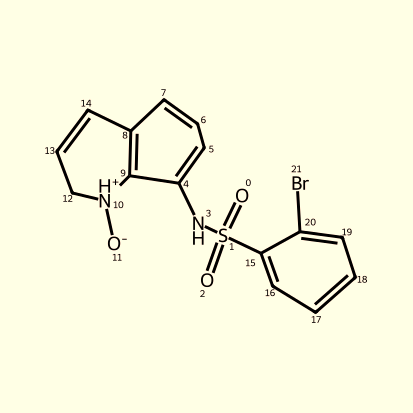 O=S(=O)(Nc1cccc2c1[NH+]([O-])CC=C2)c1ccccc1Br